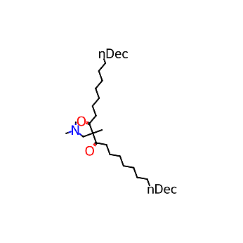 CCCCCCCCCCCCCCCCCC(=O)C(C)(CN(C)C)C(=O)CCCCCCCCCCCCCCCCC